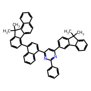 CC1(C)c2ccccc2-c2cc(-c3cc(-c4ccc(-c5cccc6c5-c5ccc7ccccc7c5C6(C)C)c5ccccc45)nc(-c4ccccc4)n3)ccc21